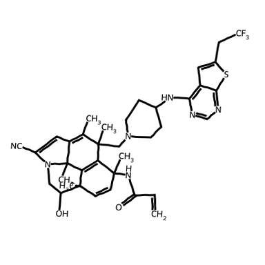 C=CC(=O)NC1(C)C=CC2(C)C3=C1C(C)(CN1CCC(Nc4ncnc5sc(CC(F)(F)F)cc45)CC1)C(C)=C1C=C(C#N)N(CC2O)C13C